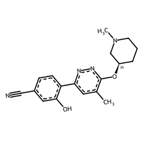 Cc1cc(-c2ccc(C#N)cc2O)nnc1O[C@@H]1CCCN(C)C1